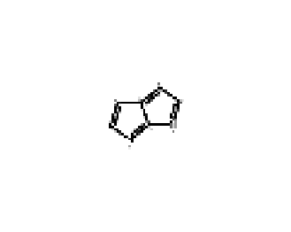 [C]1=CN=C2N=CC=C12